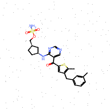 Cc1cccc(Cc2cc(C(=O)c3cncnc3N[C@H]3CC[C@@H](COS(N)(=O)=O)C3)sc2C)c1